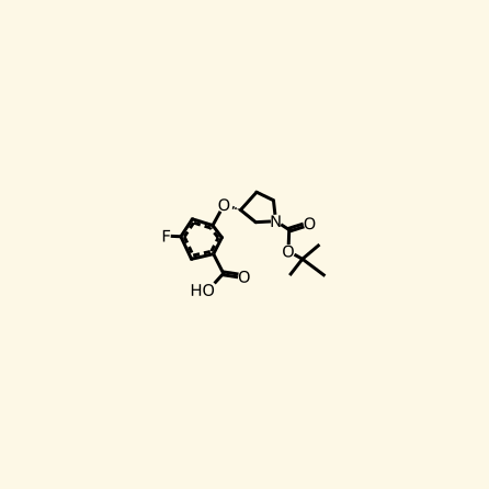 CC(C)(C)OC(=O)N1CC[C@@H](Oc2cc(F)cc(C(=O)O)c2)C1